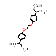 O=C(O)CC(C(=O)O)c1ccc(OCCOc2ccc(C(CC(=O)O)C(=O)O)cc2)cc1